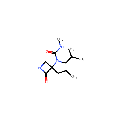 CCCC1(N(CC(C)C)C(=O)NC)CNC1=O